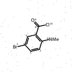 CNc1ccc(Br)cc1C(=O)Cl